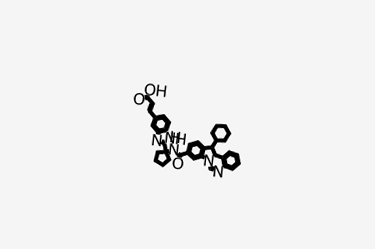 O=C(O)C=Cc1ccc2[nH]c(C3(NC(=O)c4ccc5c(c4)N4C=Nc6ccccc6C4C5C4CCCCC4)CCCC3)nc2c1